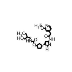 CCC(CO)CNC(=O)O[C@@H]1CC[C@H](c2cc(NC(=O)Cc3ccnc(OC)c3)n[nH]2)C1